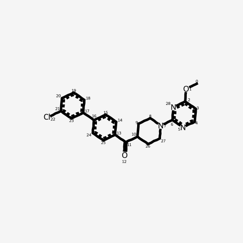 COc1ccnc(N2CCC(C(=O)c3ccc(-c4cccc(Cl)c4)cc3)CC2)n1